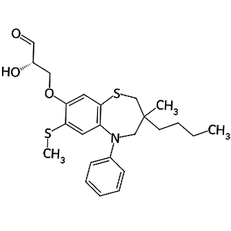 CCCCC1(C)CSc2cc(OC[C@H](O)C=O)c(SC)cc2N(c2ccccc2)C1